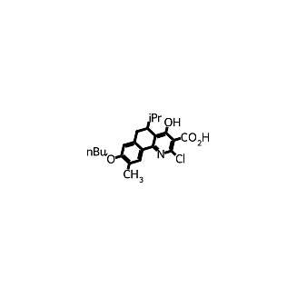 CCCCOc1cc2c(cc1C)-c1nc(Cl)c(C(=O)O)c(O)c1C(C(C)C)C2